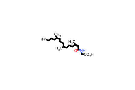 CC(=CC(=O)NCC(=O)O)CCCC(C)CCCC(C)CCCC(C)C